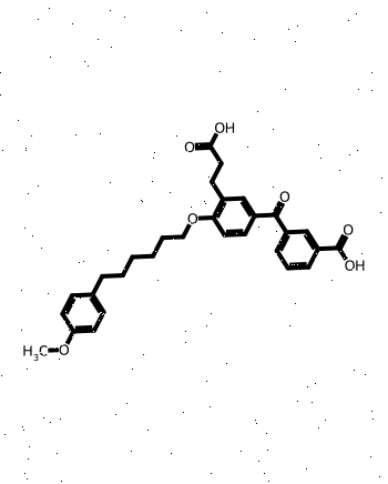 COc1ccc(CCCCCCOc2ccc(C(=O)c3cccc(C(=O)O)c3)cc2CCC(=O)O)cc1